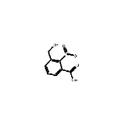 O=C(O)c1cccc(CO)c1[N+](=O)[O-]